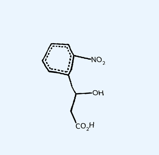 O=C(O)CC(O)c1ccccc1[N+](=O)[O-]